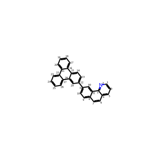 c1cnc2c(c1)ccc1ccc(-c3ccc4c5ccccc5c5ccccc5c4c3)cc12